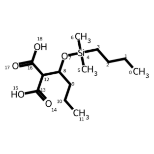 CCCC[Si](C)(C)OC(CCC)C(C(=O)O)C(=O)O